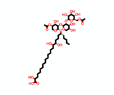 CCCCC[C@H](CCC[C@H](O)[C@H](O)CCCCCCCCCCCCC[C@H](O)C(=O)O)O[C@@H]1OC[C@@H](OC(C)=O)[C@H](O)[C@H]1O[C@@H]1OC[C@@H](O)[C@H](O)[C@H]1O[C@@H]1O[C@H](COC(C)=O)[C@@H](O)[C@H](O)[C@H]1O